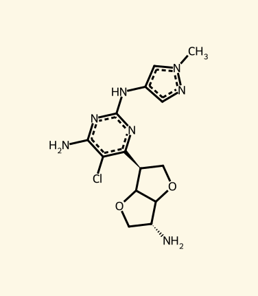 Cn1cc(Nc2nc(N)c(Cl)c([C@H]3COC4C3OC[C@H]4N)n2)cn1